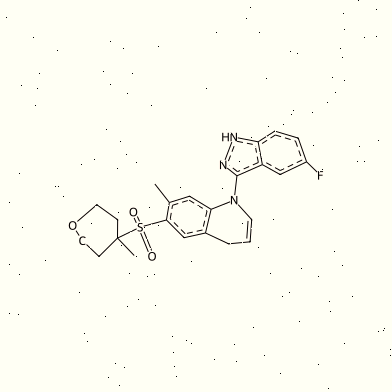 Cc1cc2c(cc1S(=O)(=O)C1(C)CCOCC1)CC=CN2c1n[nH]c2ccc(F)cc12